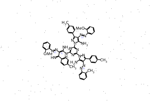 COc1ccccc1/N=N/C(C(=N)c1ccc(C)cc1)=C(\N)Nc1nc(-n2nc(-c3ccc(C)cc3)c(/N=N/c3ccccc3C)c2N)nc(-n2nc(-c3ccc(C)cc3)c(/N=N/c3ccccc3OC)c2N)n1